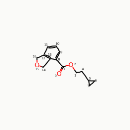 O=C(OCCC1CC1)c1cccc2c1COC2